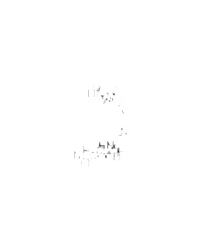 CC1(C)[C@H](NC(=O)c2ccc(NCCCCC#Cc3ccc4c(c3)C(=O)N(C3CCC(=O)NC3=O)C4=O)cc2)C(C)(C)[C@H]1Oc1ccc(C#N)c(Cl)c1